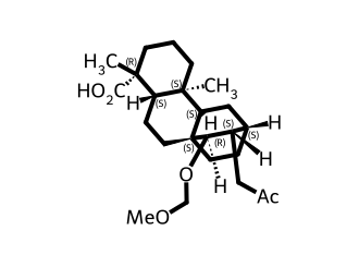 COCO[C@@H]1[C@@H](CC(C)=O)[C@H]2CC[C@@]13CC[C@H]1[C@@](C)(CCC[C@@]1(C)C(=O)O)[C@@H]3C2